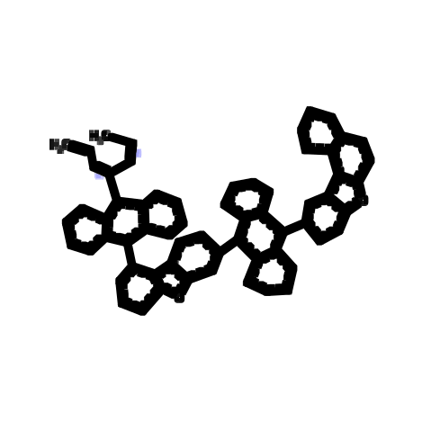 C=C/C=C(\C=C/C)c1c2ccccc2c(-c2cccc3oc4cc(-c5c6ccccc6c(-c6ccc7oc8ccc9ccccc9c8c7c6)c6ccccc56)ccc4c23)c2ccccc12